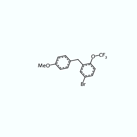 COc1ccc(Cc2cc(Br)ccc2OC(F)(F)F)cc1